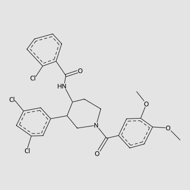 COc1ccc(C(=O)N2CCC(NC(=O)c3ccccc3Cl)C(c3cc(Cl)cc(Cl)c3)C2)cc1OC